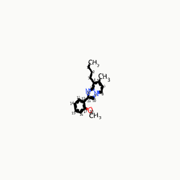 CCCCc1c(C)ccn2[c]c(-c3ccccc3OC)nc12